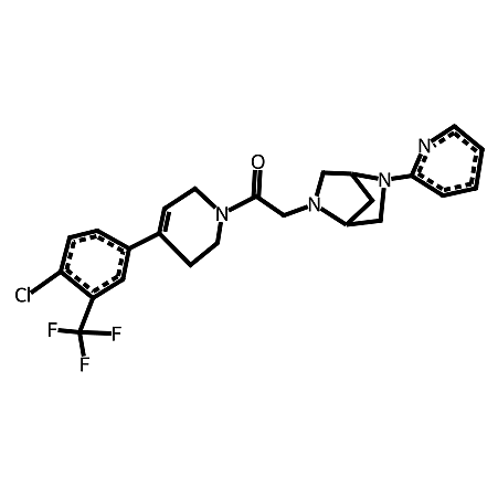 O=C(CN1CC2CC1CN2c1ccccn1)N1CC=C(c2ccc(Cl)c(C(F)(F)F)c2)CC1